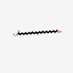 NC(=O)CCCC=CCC=CCC=CCC=CCCCCCCCCO